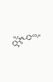 CN(N=Cc1ccc(C(=O)O)cc1)C(=O)c1ccccc1F